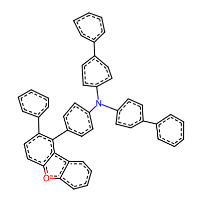 c1ccc(-c2ccc(N(c3ccc(-c4ccccc4)cc3)c3ccc(-c4c(-c5ccccc5)ccc5oc6ccccc6c45)cc3)cc2)cc1